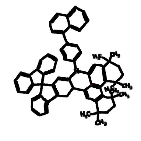 CC1(C)CCC(C)(C)c2cc(C3CC4=C(C=C3N(c3ccc(-c5cccc6ccccc56)cc3)c3ccc5c(c3)C(C)(C)CCC5(C)C)C3(c5ccccc54)c4ccccc4-c4ccccc43)ccc21